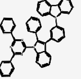 c1ccc(-c2nc(-c3ccccc3)nc(-n3c(-c4ccccc4)c(-c4cccc(-n5c6ccccc6c6ccccc65)c4)c4ccccc43)n2)cc1